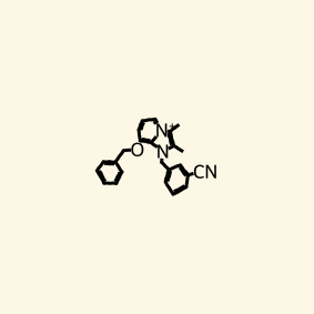 Cc1c(C)[n+]2cccc(OCc3ccccc3)c2n1Cc1cccc(C#N)c1